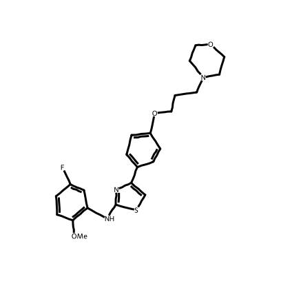 COc1ccc(F)cc1Nc1nc(-c2ccc(OCCCN3CCOCC3)cc2)cs1